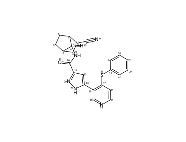 N#CN1CC2CCC1[C@@H]2NC(=O)c1cc(-c2cnccc2Sc2ccccc2)[nH]n1